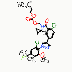 N#CC1(N(COC(=O)OCCC(=O)O)C(=O)c2cc(-c3cnn(-c4c(Cl)cc(C(F)(C(F)(F)F)C(F)(F)F)cc4OC(F)(F)F)c3)ccc2Cl)CC1